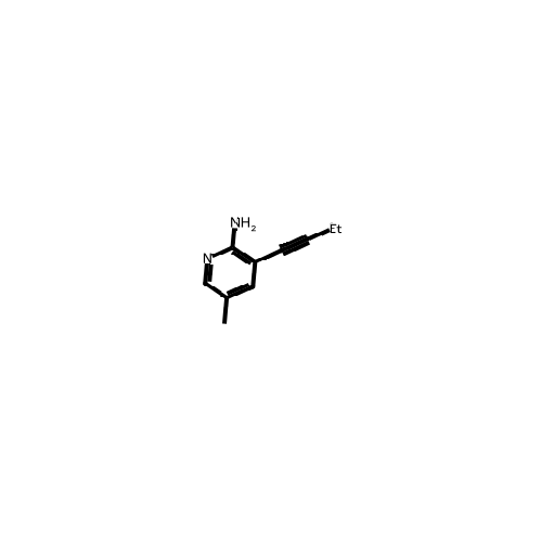 CCC#Cc1cc(C)cnc1N